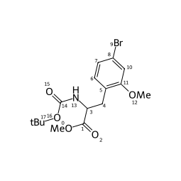 COC(=O)C(Cc1ccc(Br)cc1OC)NC(=O)OC(C)(C)C